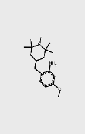 COc1ccc(CC2CC(C)(C)N(C)C(C)(C)C2)c(N)c1